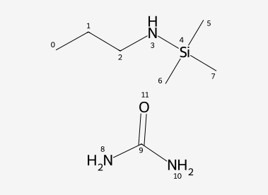 CCCN[Si](C)(C)C.NC(N)=O